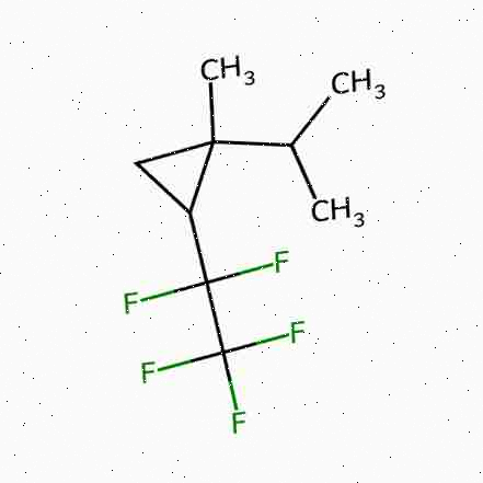 CC(C)C1(C)CC1C(F)(F)C(F)(F)F